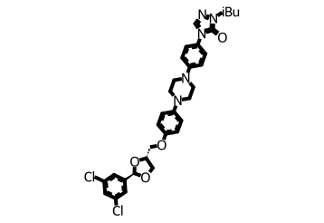 CCC(C)n1ncn(-c2ccc(N3CCN(c4ccc(OC[C@@H]5CO[C@@H](c6cc(Cl)cc(Cl)c6)O5)cc4)CC3)cc2)c1=O